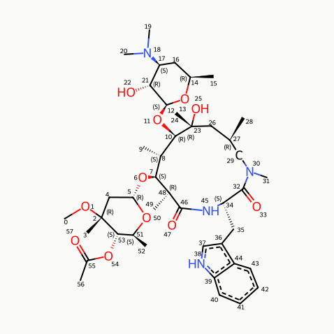 CO[C@]1(C)C[C@H](O[C@H]2[C@H](C)[C@@H](O[C@@H]3O[C@H](C)C[C@H](N(C)C)[C@H]3O)[C@](C)(O)C[C@@H](C)CN(C)C(=O)[C@H](Cc3c[nH]c4ccccc34)NC(=O)[C@@H]2C)O[C@@H](C)[C@@H]1OC(C)=O